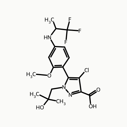 COc1cc(NC(C)C(F)(F)F)ccc1-c1c(Cl)c(C(=O)O)nn1CC(C)(C)O